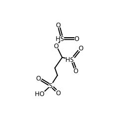 O=[SH](=O)OC(CCS(=O)(=O)O)[SH](=O)=O